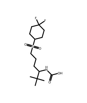 CC(C)(C)C(CCCS(=O)(=O)C1CCC(F)(F)CC1)NC(=O)O